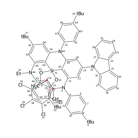 C/C=C(\C)N(c1ccc(C(C)(C)C)cc1)c1cc(-n2c3ccccc3c3ccccc32)cc2c1[Si]1(Oc3c(Cl)c(Cl)c(Cl)c(Cl)c3O1)c1c(N(CC)c3ccc(C(C)(C)C)cc3)cc(C(C)(C)C)cc1N2c1ccc(C(C)(C)C)cc1